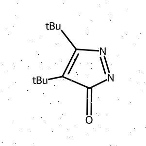 CC(C)(C)C1=C(C(C)(C)C)C(=O)N=N1